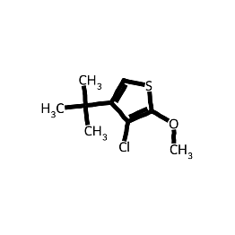 COc1scc(C(C)(C)C)c1Cl